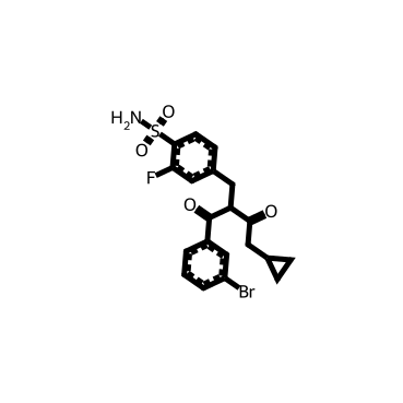 NS(=O)(=O)c1ccc(CC(C(=O)CC2CC2)C(=O)c2cccc(Br)c2)cc1F